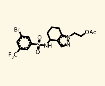 CC(=O)OCCn1ncc2c1CCCC2NS(=O)(=O)c1cc(Br)cc(C(F)(F)F)c1